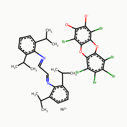 CC(C)c1cccc(C(C)C)c1N=CC=Nc1c(C(C)C)cccc1C(C)C.[Ni+2].[O-]c1c([O-])c(Br)c2c(c1Br)Oc1c(Br)c(Br)c(Br)c(Br)c1O2